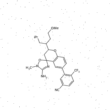 COCCC(CC(C)C)C1CC2(N=C(N)N(C)O2)c2cc(-c3cc(C#N)ccc3C(F)(F)F)ccc2O1